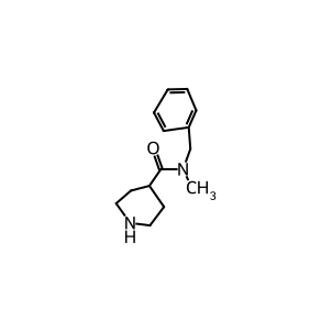 CN(Cc1ccccc1)C(=O)C1CCNCC1